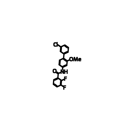 COc1cc(NC(=O)c2cccc(F)c2F)ccc1-c1cccc(Cl)c1